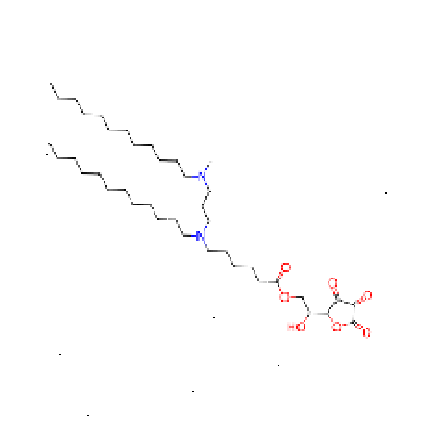 CCCCCCCCCCCCN(C)CCCN(CCCCCCCCCCCC)CCCCCC(=O)OCC(O)C1OC(=O)C(=O)C1=O